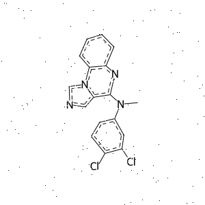 CN(c1ccc(Cl)c(Cl)c1)c1nc2ccccc2n2cncc12